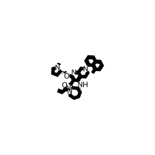 C=CC(=O)N1CCCC[C@@H](Nc2c(C#N)c(OC[C@@H]3CCCN3C)nc3c2CCN(c2cccc4cccc(C)c24)C3)C1